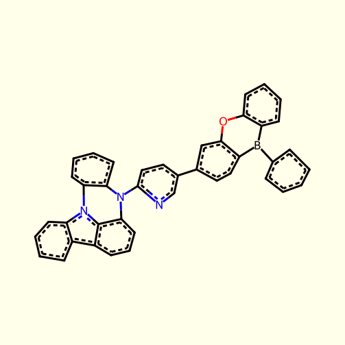 c1ccc(B2c3ccccc3Oc3cc(-c4ccc(N5c6ccccc6-n6c7ccccc7c7cccc5c76)nc4)ccc32)cc1